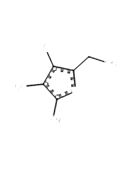 Cc1c(C#N)sc(CO)c1F